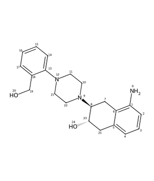 Nc1cccc2c1C[C@H](N1CCN(c3ccccc3CO)CC1)[C@@H](O)C2